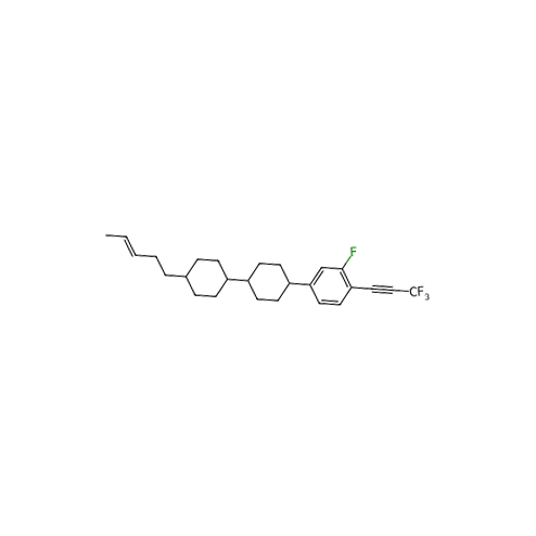 C/C=C/CCC1CCC(C2CCC(c3ccc(C#CC(F)(F)F)c(F)c3)CC2)CC1